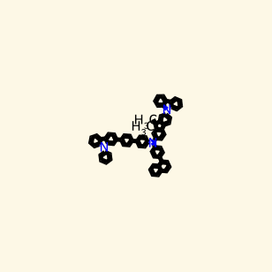 CC1(C)c2cc(N(c3ccc(-c4ccc(-c5ccc6c7ccccc7n(-c7ccccc7)c6c5)cc4)cc3)c3ccc(-c4cccc5ccccc45)cc3)ccc2-c2ccc(-n3c4ccccc4c4ccccc43)cc21